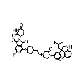 O=C1CCC(N2C(=O)c3cc(F)cc(N4CCC(CCN5CCN(c6cccc(C7(CC(F)F)CNc8nccc(Cl)c87)c6)C(=O)C5)CC4)c3C2=O)C(=O)N1